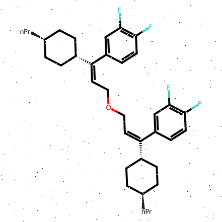 CCC[C@H]1CC[C@H](C(=CCOCC=C(c2ccc(F)c(F)c2)[C@H]2CC[C@H](CCC)CC2)c2ccc(F)c(F)c2)CC1